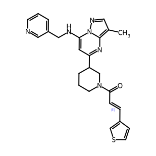 Cc1cnn2c(NCc3cccnc3)cc(C3CCCN(C(=O)/C=C/c4ccsc4)C3)nc12